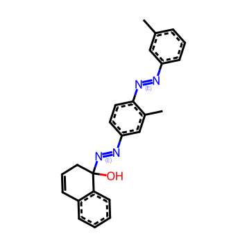 Cc1cccc(/N=N/c2ccc(/N=N/C3(O)CC=Cc4ccccc43)cc2C)c1